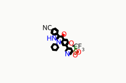 N#Cc1ccc2c(c1)[nH]c1c2c(=O)c2cc(OCC(F)(F)F)c(-c3cncc(S(=O)(=O)F)c3)cc2n1C1CCCCC1